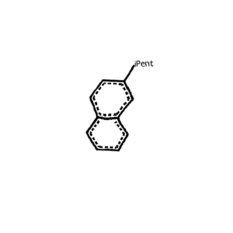 [CH2]CCC(C)c1ccc2ccccc2c1